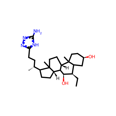 CC[C@@H]1C2C[C@H](O)CCC2(C)[C@H]2CCC3(C)C([C@H](C)CCc4nnc(N)[nH]4)CC[C@H]3C2[C@@H]1O